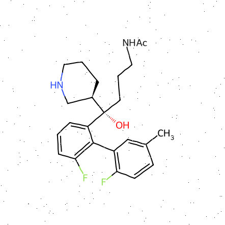 CC(=O)NCCC[C@@](O)(c1cccc(F)c1-c1cc(C)ccc1F)[C@@H]1CCCNC1